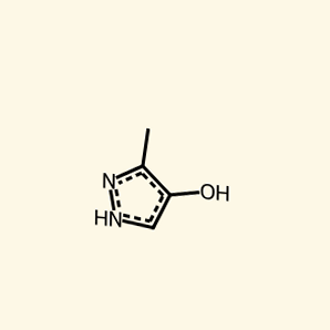 Cc1n[nH]cc1O